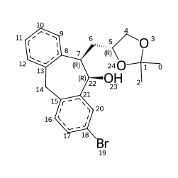 CC1(C)OC[C@@H](C[C@@H]2c3ccccc3Cc3ccc(Br)cc3[C@@H]2O)O1